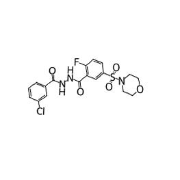 O=C(NNC(=O)c1cc(S(=O)(=O)N2CCOCC2)ccc1F)c1cccc(Cl)c1